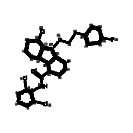 O=C(Nc1c(Cl)cncc1Cl)c1cccc2c1c1cccc(Cl)c1n2OCCc1ccc(F)cc1